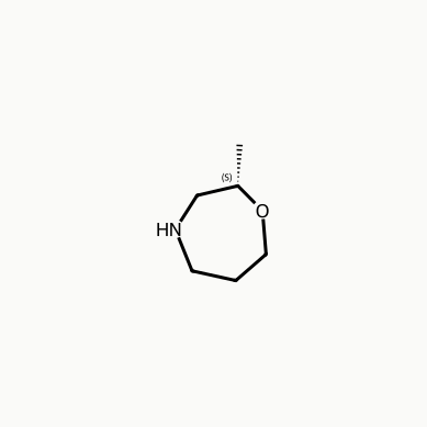 C[C@H]1CNCCCO1